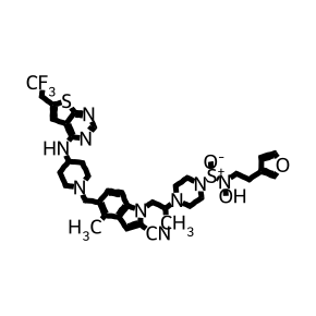 Cc1c(CN2CCC(Nc3ncnc4sc(CC(F)(F)F)cc34)CC2)ccc2c1cc(C#N)n2CC(C)N1CCN([S+]([O-])N(O)CCc2ccoc2)CC1